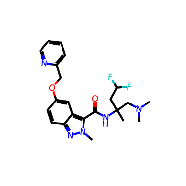 CN(C)CC(C)(CC(F)F)NC(=O)c1c2cc(OCc3ccccn3)ccc2nn1C